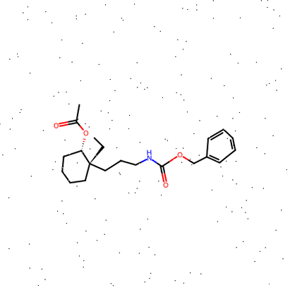 CC[C@@]1(CCCNC(=O)OCc2ccccc2)CCCC[C@@H]1OC(C)=O